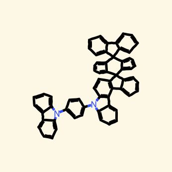 c1ccc2c(c1)-c1ccccc1C21c2ccccc2C2(c3ccccc3-c3c2ccc2c3c3ccccc3n2-c2ccc(-n3c4ccccc4c4ccccc43)cc2)c2ccccc21